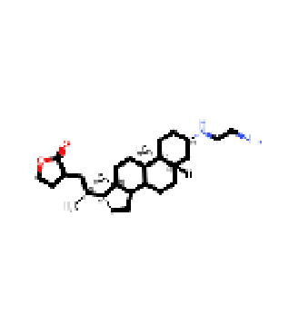 C[C@H](CC1CCOC1=O)[C@H]1CCC2C3CC[C@H]4C[C@@H](NCCN)CC[C@]4(C)C3CC[C@@]21C